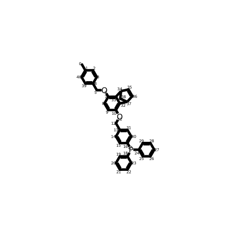 Cc1ccc(COc2ccc(OCc3ccc(P(c4ccccc4)c4ccccc4)cc3)c3c2C2C=CC3C2)cc1